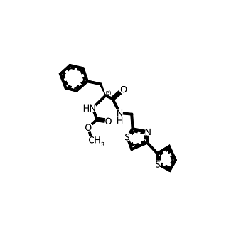 COC(=O)N[C@@H](Cc1ccccc1)C(=O)NCc1nc(-c2cccs2)cs1